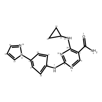 NC(=O)c1cnc(Nc2ccc(-n3cccn3)cc2)nc1NC1CC1